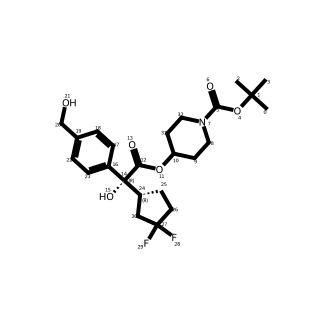 CC(C)(C)OC(=O)N1CCC(OC(=O)[C@](O)(c2ccc(CO)cc2)[C@@H]2CCC(F)(F)C2)CC1